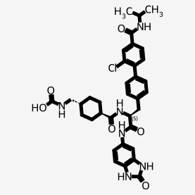 CC(C)NC(=O)c1ccc(-c2ccc(C[C@H](NC(=O)[C@H]3CC[C@H](CNC(=O)O)CC3)C(=O)Nc3ccc4[nH]c(=O)[nH]c4c3)cc2)c(Cl)c1